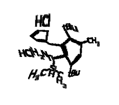 Cc1cc(C(C)(C)C)[c]([Ti]([NH2])[SiH](C)C)c(C2=CC=CC2)c1C(C)(C)C.Cl.Cl